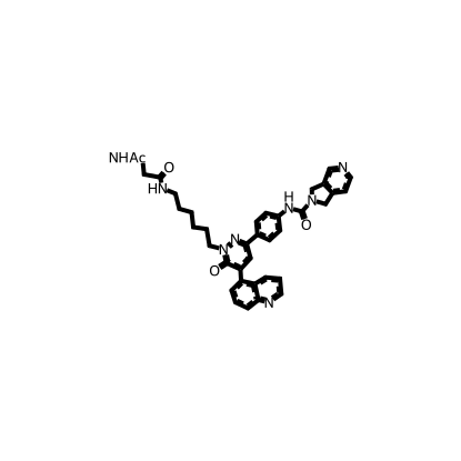 CC(=O)NCC(=O)NCCCCCCn1nc(-c2ccc(NC(=O)N3Cc4ccncc4C3)cc2)cc(-c2cccc3ncccc23)c1=O